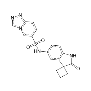 O=C1Nc2ccc(NS(=O)(=O)c3ccc4nncn4c3)cc2C12CCC2